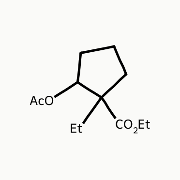 CCOC(=O)C1(CC)CCCC1OC(C)=O